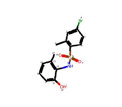 Cc1cc(Br)ccc1S(=O)(=O)Nc1c(C)cccc1O